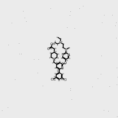 CCN(CC)CCN(C)c1ncc(Oc2cc(CN3CCC(CC(=O)O)CC3)cc(-c3cc(Cl)cc(Cl)c3)n2)cn1